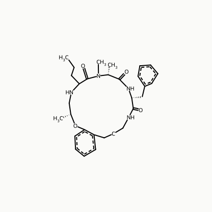 CCCC1NC[C@@H](C)Oc2ccccc2CCCNC(=O)[C@@H](Cc2ccccc2)NC(=O)[C@@H](C)N(C)C1=O